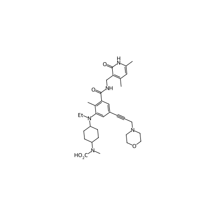 CCN(c1cc(C#CCN2CCOCC2)cc(C(=O)NCc2c(C)cc(C)[nH]c2=O)c1C)C1CCC(N(C)C(=O)O)CC1